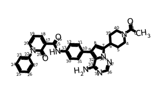 CC(=O)N1CCC(c2cc(-c3ccc(NC(=O)c4cccn(-c5ccccc5)c4=O)cc3)c3c(N)ncnn23)CC1